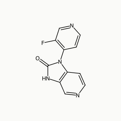 O=c1[nH]c2cnccc2n1-c1ccncc1F